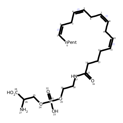 CCCCC/C=C\C/C=C\C/C=C\C/C=C\CCCC(=O)NCCOP(=O)(O)OCC(N)C(=O)O